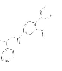 CC(O)c1cc(C(=O)NC(C)c2ccccc2)ccc1/C(C=N)=C/N